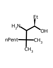 CCCCCC(C)(C)C(N)[C@H](O)CC